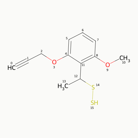 C#CCOc1cccc(OC)c1C(C)SS